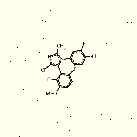 COc1ccc(F)c(-c2c(Cl)nc(C)n2-c2ccc(Cl)c(F)c2)c1F